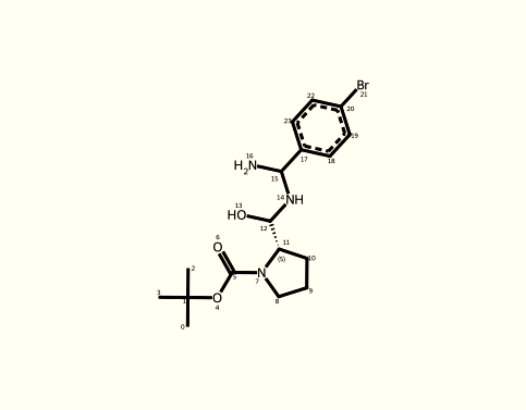 CC(C)(C)OC(=O)N1CCC[C@H]1C(O)NC(N)c1ccc(Br)cc1